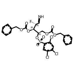 N=C[C@@H](F)[C@H](OC(=O)OCc1ccccc1)[C@@H](COC(=O)OCc1ccccc1)OS(=O)(=O)c1cc(Cl)c(Cl)cc1Cl